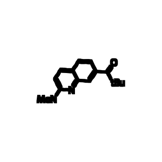 CNc1ccc2ccc(C(=O)C(C)(C)C)cc2n1